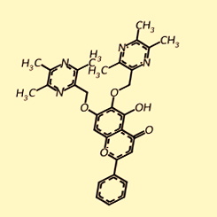 Cc1nc(C)c(COc2cc3oc(-c4ccccc4)cc(=O)c3c(O)c2OCc2nc(C)c(C)nc2C)nc1C